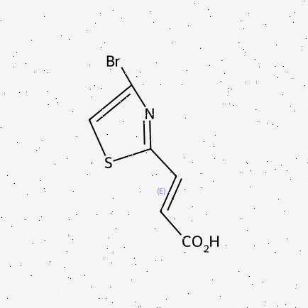 O=C(O)/C=C/c1nc(Br)cs1